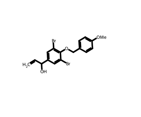 C=CC(O)c1cc(Br)c(OCc2ccc(OC)cc2)c(Br)c1